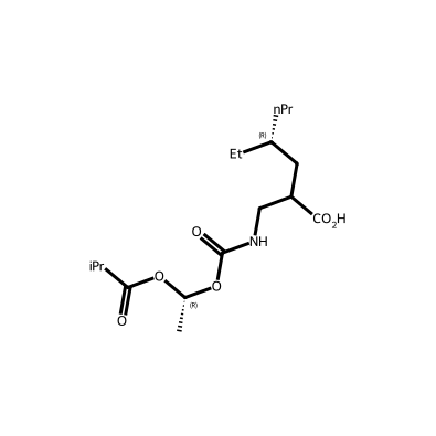 CCC[C@@H](CC)CC(CNC(=O)O[C@H](C)OC(=O)C(C)C)C(=O)O